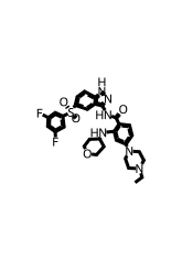 CCN1CCN(c2ccc(C(=O)Nc3n[nH]c4ccc(S(=O)(=O)c5cc(F)cc(F)c5)cc34)c(NC3CCOCC3)c2)CC1